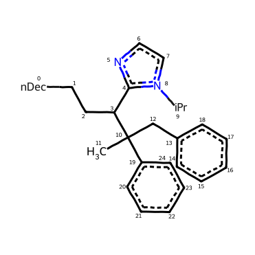 CCCCCCCCCCCCC(c1nccn1C(C)C)C(C)(Cc1ccccc1)c1ccccc1